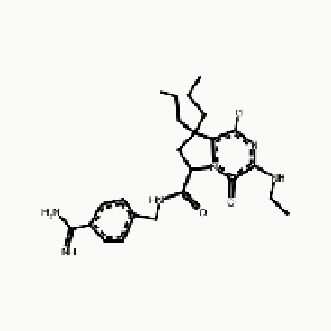 CCCC1(CCC)CC(C(=O)NCc2ccc(C(=N)N)cc2)n2c1c(Cl)nc(NCC)c2=O